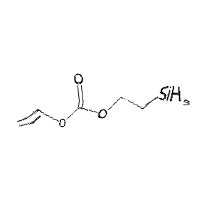 C=COC(=O)OCC[SiH3]